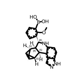 COc1c(B(O)O)cccc1[C@@H]1Nc2ccc3[nH]ncc3c2[C@@H]2[C@H]1[C@@H]1C=C[C@@H]2C1